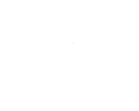 CC(C)(C)c1cc(-c2ccccc2)cc2nc(-c3ccccc3)oc12